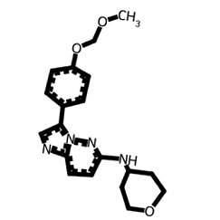 COCOc1ccc(-c2cnc3ccc(NC4CCOCC4)nn23)cc1